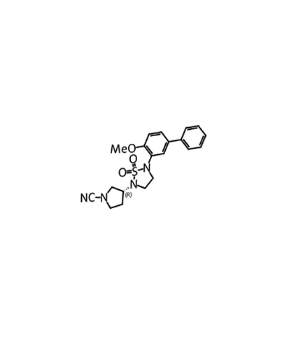 COc1ccc(-c2ccccc2)cc1N1CCN([C@@H]2CCN(C#N)C2)S1(=O)=O